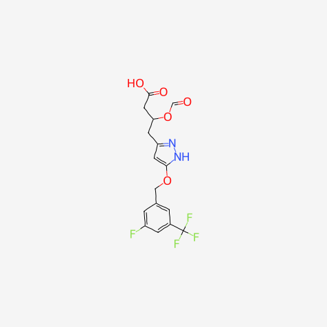 O=COC(CC(=O)O)Cc1cc(OCc2cc(F)cc(C(F)(F)F)c2)[nH]n1